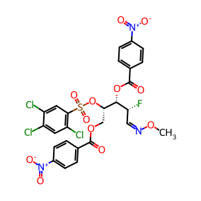 CO/N=C\[C@@H](F)[C@@H](OC(=O)c1ccc([N+](=O)[O-])cc1)[C@H](COC(=O)c1ccc([N+](=O)[O-])cc1)OS(=O)(=O)c1cc(Cl)c(Cl)cc1Cl